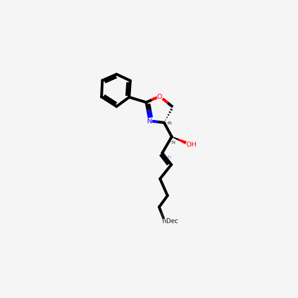 CCCCCCCCCCCCC/C=C/[C@H](O)[C@H]1COC(c2ccccc2)=N1